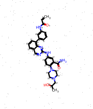 C=CC(=O)Nc1cccc(-c2cccc3cnc(Nc4ccc(N5CCN(CC(C)O)CC5)c(C(N)=O)c4)nc23)c1